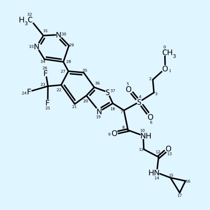 COCCS(=O)(=O)C(C(=O)NCC(=O)NC1CC1)c1nc2cc(C(F)(F)F)c(-c3cnc(C)nc3)cc2s1